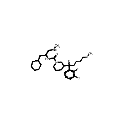 CNCC(CC1CCCCC1)NC(=O)N1CCCC(C(F)(CCCCOC)c2cccc(Cl)c2F)C1